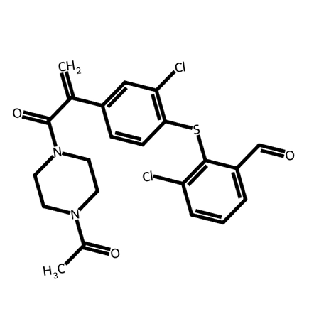 C=C(C(=O)N1CCN(C(C)=O)CC1)c1ccc(Sc2c(Cl)cccc2C=O)c(Cl)c1